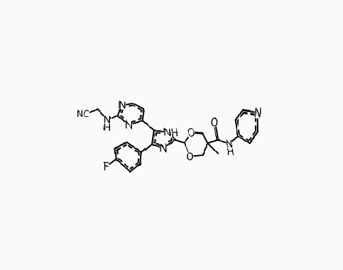 CC1(C(=O)Nc2ccncc2)COC(c2nc(-c3ccc(F)cc3)c(-c3ccnc(NCC#N)n3)[nH]2)OC1